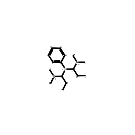 CCC(N(C)C)P(c1ccccc1)C(CC)N(C)C